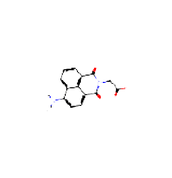 CN(C)c1ccc2c3c(cccc13)C(=O)N(CC(=O)O)C2=O